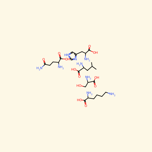 CC(C)CC(N)C(=O)O.NC(=O)CCC(N)C(=O)O.NC(CO)C(=O)O.NC(Cc1c[nH]cn1)C(=O)O.NCCCCC(N)C(=O)O